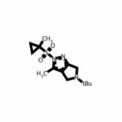 Cc1c2c(nn1S(=O)(=O)C1(C)CC1)CN(C(C)(C)C)C2